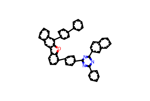 c1ccc(-c2ccc(-c3c4ccccc4cc4c3oc3c(-c5ccc(-c6nc(-c7ccccc7)nc(-c7ccc8ccccc8c7)n6)cc5)cccc34)cc2)cc1